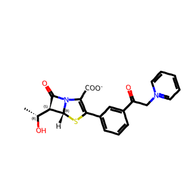 C[C@@H](O)[C@H]1C(=O)N2C(C(=O)[O-])=C(c3cccc(C(=O)C[n+]4ccccc4)c3)S[C@H]12